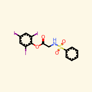 O=C(CNS(=O)(=O)c1ccccc1)Oc1c(I)cc(I)cc1I